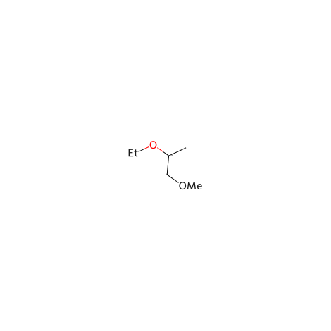 CCO[C](C)COC